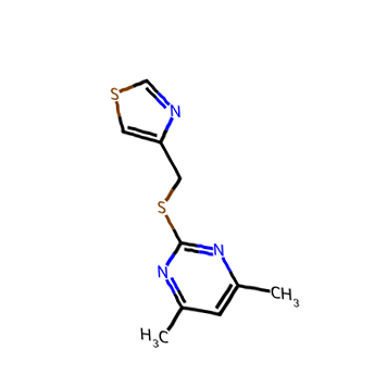 Cc1cc(C)nc(SCc2cscn2)n1